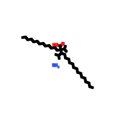 CCCCCCCCCCCCCCCC(C(C)C)C(CCCCCCCCCCCCC)(C(=O)O)C(C)C.N